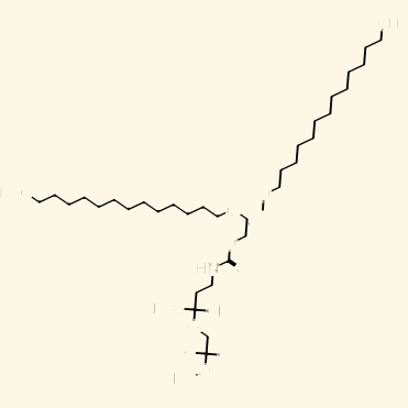 CCCCCCCCCCCCCCOC[C@H](COC(=O)NCCC(C)(C)OCC(C)(C)OC)OCCCCCCCCCCCCCC